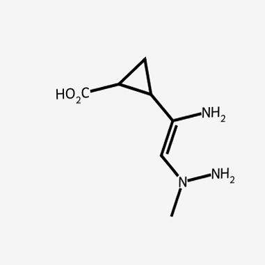 CN(N)/C=C(\N)C1CC1C(=O)O